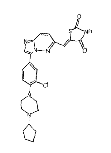 O=C1NC(=O)/C(=C/c2ccc3ncc(-c4ccc(N5CCN(C6CCCC6)CC5)c(Cl)c4)n3n2)S1